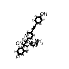 N/N=C\N(N)CC(N=O)(c1ccc(F)cc1F)C(F)(F)c1ccc(C#Cc2ccc(O)cc2)cn1